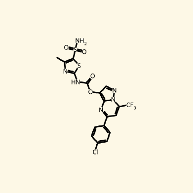 Cc1nc(NC(=O)Oc2cnn3c(C(F)(F)F)cc(-c4ccc(Cl)cc4)nc23)sc1S(N)(=O)=O